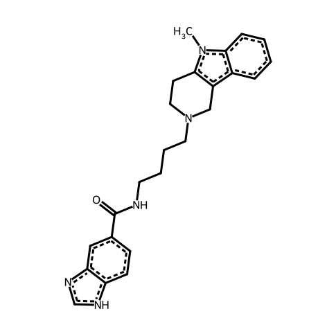 Cn1c2c(c3ccccc31)CN(CCCCNC(=O)c1ccc3[nH]cnc3c1)CC2